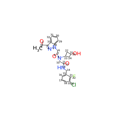 CC(=O)c1nn(CC(=O)N(CC(=O)NCc2cccc(Cl)c2F)C2CC(O)C2)c2ccccc12